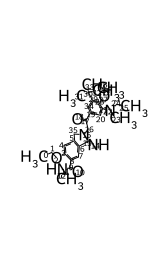 CCOc1cc2c(cc1C(=O)NC)C(=N)N(CC(=O)c1cc(N(C)CC)c(OC)c(C(C)(C)C)c1)C2